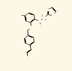 CC(C)N(c1ccc(C(F)(F)F)cc1OCc1ccc(C=CC(=O)O)cc1)S(=O)(=O)c1nccs1